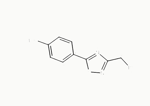 FC(F)(F)c1ccc(-c2nc(CBr)ns2)cc1